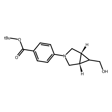 CC(C)(C)OC(=O)c1ccc(N2C[C@@H]3C(CO)[C@@H]3C2)cc1